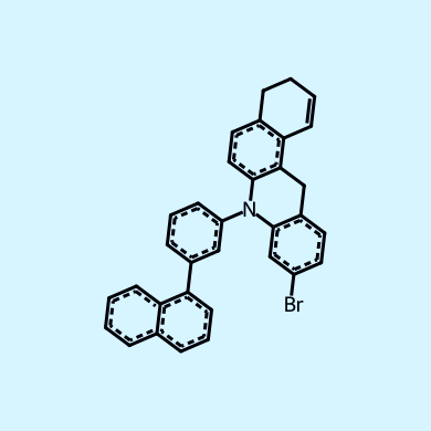 Brc1ccc2c(c1)N(c1cccc(-c3cccc4ccccc34)c1)c1ccc3c(c1C2)C=CCC3